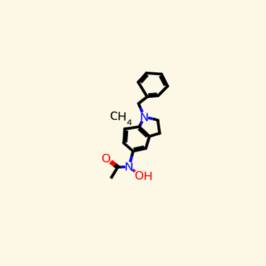 C.CC(=O)N(O)c1ccc2c(c1)CCN2Cc1ccccc1